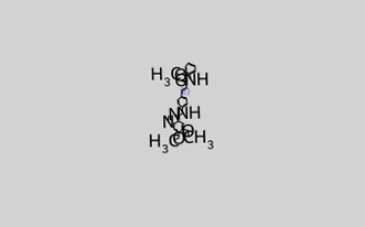 COc1ccccc1NC(=O)/C=C/c1ccc(Nc2ncnc3cc(OC)c(OC)cc23)cc1